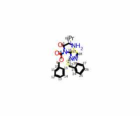 CC(C)[C@H](N)C(=O)N(C(=O)OCc1ccccc1)C1SC=NN1SCc1ccccc1